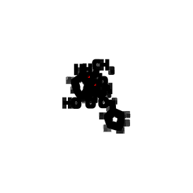 CC[C@@H]1c2onc(OCc3ccccc3)c2C(=O)[C@]2(O)C=C[C@H]1[C@@H](C)[C@H]2C